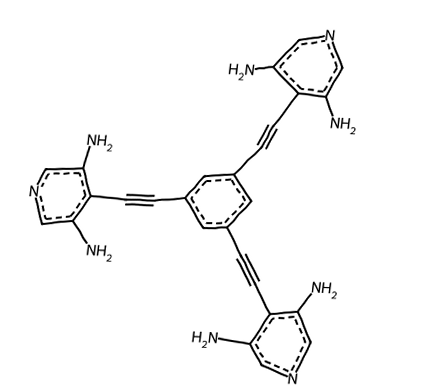 Nc1cncc(N)c1C#Cc1cc(C#Cc2c(N)cncc2N)cc(C#Cc2c(N)cncc2N)c1